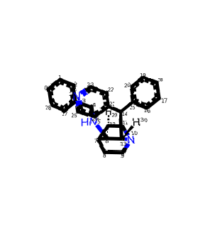 c1ccc(CN[C@@H]2C3CCN(CC3)[C@H]2C(c2ccccc2)c2ccncc2)cc1